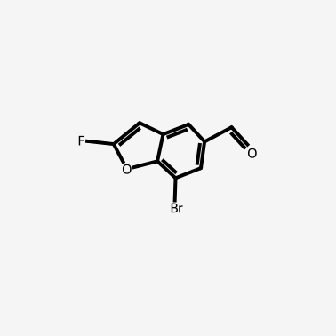 O=Cc1cc(Br)c2oc(F)cc2c1